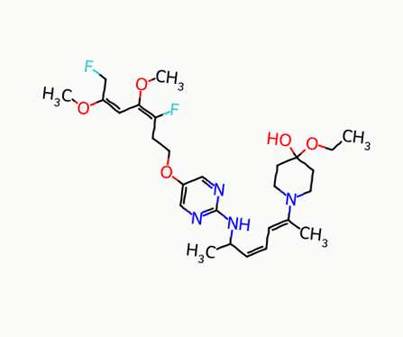 CCOC1(O)CCN(/C(C)=C/C=C\C(C)Nc2ncc(OCC/C(F)=C(\C=C(/CF)OC)OC)cn2)CC1